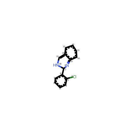 Clc1ccccc1C1N=c2ccccc2=CN1